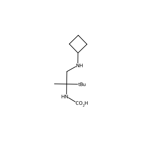 CC(C)(C)C(C)(CNC1CCC1)NC(=O)O